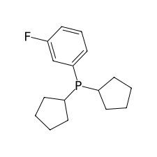 Fc1cccc(P(C2CCCC2)C2CCCC2)c1